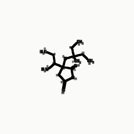 CCC([SiH3])C1(OC(C)(CC)CC)CC(=O)OC1=O